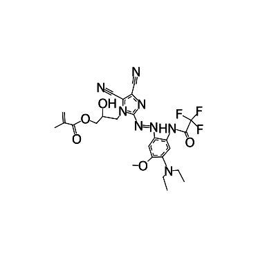 C=C(C)C(=O)OCC(O)Cn1c(/N=N/c2cc(OC)c(N(CC)CC)cc2NC(=O)C(F)(F)F)nc(C#N)c1C#N